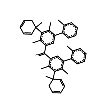 Cc1ccccc1-c1cc(C(=O)c2cc(-c3ccccc3C)c(C)c(C3(C)C=CC=CC3)c2C)c(C)c(C2(C)C=CC=CC2)c1C